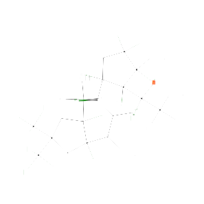 CC(C(C)C1(F)CC(C(F)(F)F)(C(F)(F)F)CC1(F)C(C)(C)C)C(F)C1(F)CC(F)(F)C(C)(F)C1(F)C(F)(F)C(C)(C)C